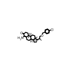 C[C@H](COCc1ccc(Cl)cc1)[C@H]1CC[C@H]2[C@@H]3CCC4=C(N)C(=O)CC[C@]4(C)[C@H]3CC[C@]12C